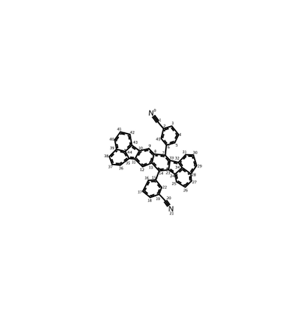 N#Cc1cccc(-c2c3cc4c(cc3c(-c3cccc(C#N)c3)c3c5cccc6cccc(c23)c65)c2cccc3cccc4c32)c1